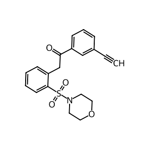 C#Cc1cccc(C(=O)Cc2ccccc2S(=O)(=O)N2CCOCC2)c1